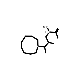 C=C(C)[SiH](CCC)CC(C)C(C)N1CCCCCCCC1